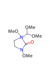 COC(OC)[N+]1(OC)CCN(OC)C1=O